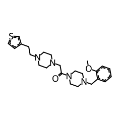 COc1ccccc1CN1CCN(C(=O)CN2CCN(CCc3ccsc3)CC2)CC1